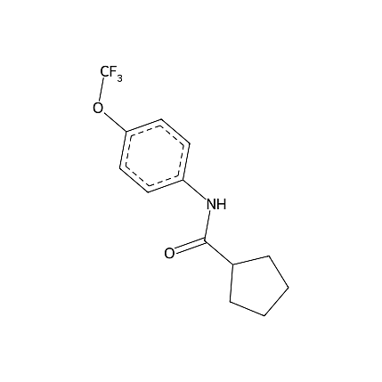 O=C(Nc1ccc(OC(F)(F)F)cc1)C1CCCC1